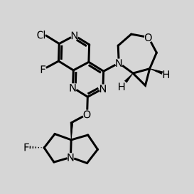 Fc1c(Cl)ncc2c(N3CCOC[C@@H]4C[C@@H]43)nc(OC[C@@]34CCCN3C[C@H](F)C4)nc12